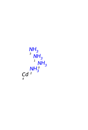 N.N.N.N.[Cd]